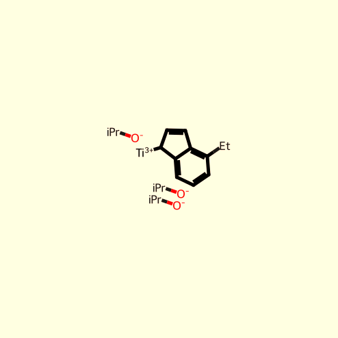 CC(C)[O-].CC(C)[O-].CC(C)[O-].CCc1cccc2c1C=C[CH]2[Ti+3]